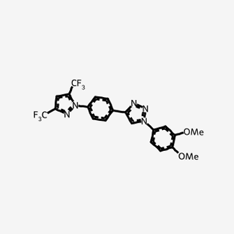 COc1ccc(-n2cc(-c3ccc(-n4nc(C(F)(F)F)cc4C(F)(F)F)cc3)nn2)cc1OC